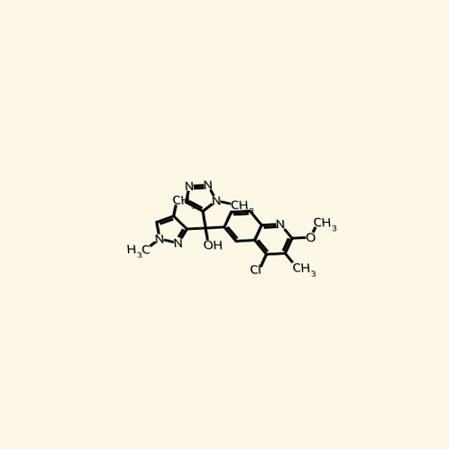 COc1nc2ccc(C(O)(c3nn(C)cc3C)c3cnnn3C)cc2c(Cl)c1C